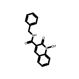 O=C(NCc1ccccc1)c1cc2ccccc2n(O)c1=O